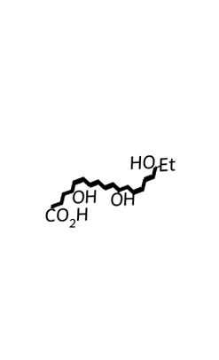 CC[C@@H](O)/C=C/C=C\C[C@@H](O)/C=C/C=C/C=C\[C@@H](O)CCCC(=O)O